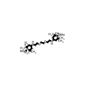 CON1C(C)(C)CC(NCCOCCOCCNC2CC(C)(C)N(OC)C(C)(C)C2)CC1(C)C